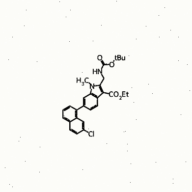 CCOC(=O)c1c(CNC(=O)OC(C)(C)C)n(C)c2cc(-c3cccc4ccc(Cl)cc34)ccc12